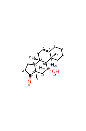 C[C@]12CCCCC1=CC[C@@H]1[C@@H]2[C@H](O)C[C@]2(C)C(=O)CC[C@@H]12